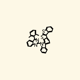 Cc1cccc(C)c1-c1nc(-n2c3ccccc3c3ccc4c(sc5sc6ccccc6c54)c32)nc2ccccc12